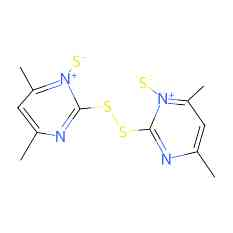 Cc1cc(C)[n+]([S-])c(SSc2nc(C)cc(C)[n+]2[S-])n1